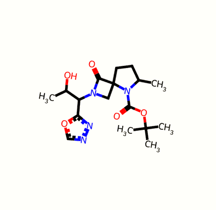 CC(O)C(c1nnco1)N1CC2(CCC(C)N2C(=O)OC(C)(C)C)C1=O